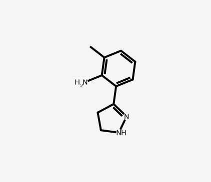 Cc1cccc(C2=NNCC2)c1N